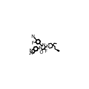 C#CCCC1(CC)CCN(c2nc(-c3ccc(C#N)c(F)c3)n(-c3ccc4nn(C)cc4c3)c(=O)c2F)CC1